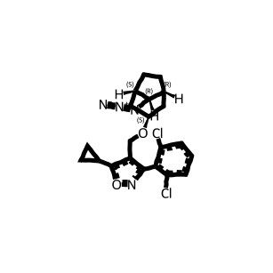 [N-]=[N+]=N[C@H]1[C@@H]2CC[C@H]1C[C@H](OCc1c(-c3c(Cl)cccc3Cl)noc1C1CC1)C2